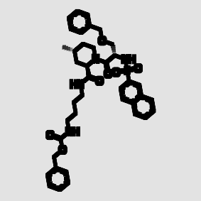 C[C@@H]1CCN(C(=O)[C@H](COCc2ccccc2)NS(=O)(=O)c2ccc3ccccc3c2)[C@@H](C(=O)NCCCCNC(=O)OCc2ccccc2)C1